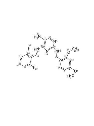 COc1ccc(CNc2ncc(N)c(NCc3c(F)cccc3F)n2)c(OC)c1